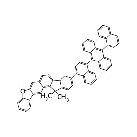 CC1(C)C2=CC=C(c3ccc(-c4c5ccccc5c(-c5cccc6ccccc56)c5ccccc45)c4ccccc34)CC2c2ccc3cc4oc5ccccc5c4cc3c21